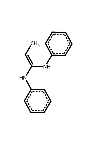 CC=C(Nc1ccccc1)Nc1ccccc1